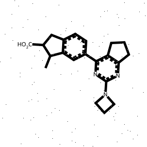 CC1c2cc(-c3nc(N4CCC4)nc4c3CCC4)ccc2CC1C(=O)O